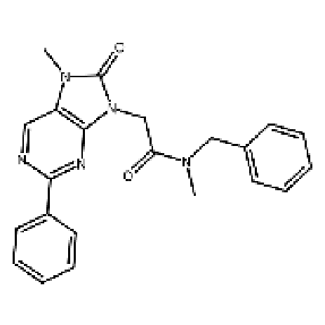 CN(Cc1ccccc1)C(=O)Cn1c(=O)n(C)c2cnc(-c3ccccc3)nc21